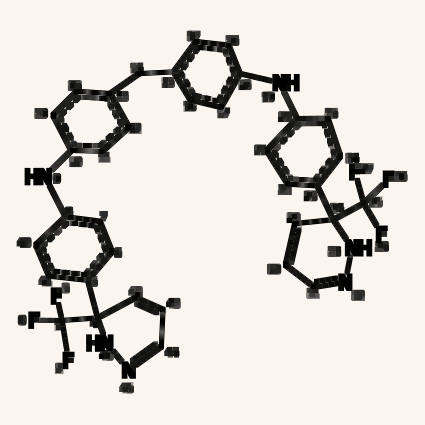 FC(F)(F)C1(c2ccc(Nc3ccc(Cc4ccc(Nc5ccc(C6(C(F)(F)F)C=CC=NN6)cc5)cc4)cc3)cc2)C=CC=NN1